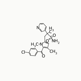 Cc1cc(CC(C)(c2cccnc2)S(N)(=O)=O)n(C)c1C(=O)c1ccc(Cl)cc1